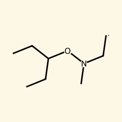 [CH2]CN(C)OC(CC)CC